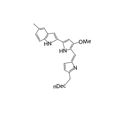 CCCCCCCCCCCC1=NC(=Cc2[nH]c(-c3cc4cc(C)ccc4[nH]3)cc2OC)C=C1